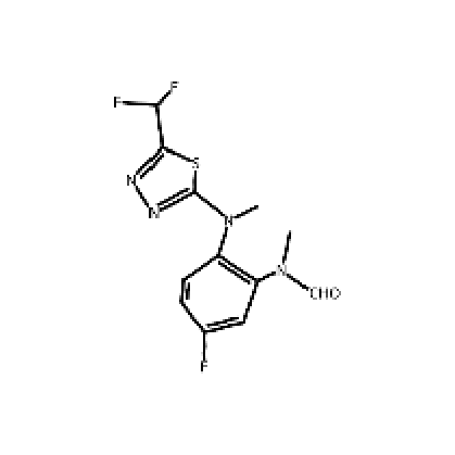 CN(C=O)c1cc(F)ccc1N(C)c1nnc(C(F)F)s1